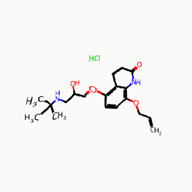 C=CCOc1ccc(OCC(O)CNC(C)(C)C)c2c1NC(=O)CC2.Cl